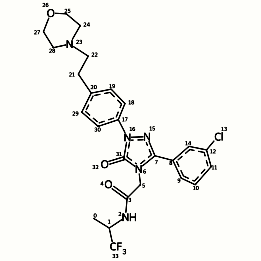 CC(NC(=O)Cn1c(-c2cccc(Cl)c2)nn(-c2ccc(CCN3CCOCC3)cc2)c1=O)C(F)(F)F